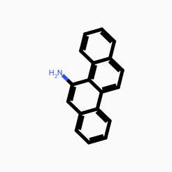 Nc1cc2ccccc2c2ccc3ccccc3c12